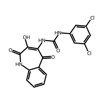 O=C(Nc1cc(Cl)cc(Cl)c1)Nc1c(O)c(=O)[nH]c2ccccc2c1=O